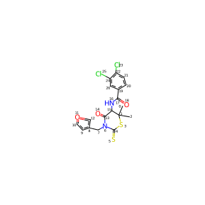 CC1(C)SC(=S)N(Cc2ccoc2)C(=O)C1NC(=O)c1ccc(Cl)c(Cl)c1